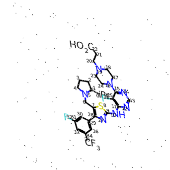 CC(C)[C@@H]1CCCN1Cc1sc(Nc2ncnc(N3CCN(CCC(=O)O)CC3)c2F)nc1-c1cc(F)cc(C(F)(F)F)c1